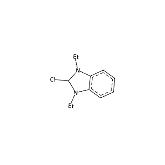 CCN1c2ccccc2N(CC)C1Cl